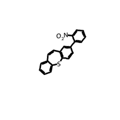 O=[N+]([O-])c1ccccc1-c1ccc2c(c1)C=Cc1ccccc1S2